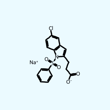 O=C([O-])CCc1cc2cc(Cl)ccc2n1S(=O)(=O)c1ccccc1.[Na+]